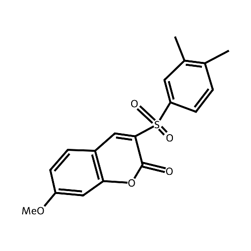 COc1ccc2cc(S(=O)(=O)c3ccc(C)c(C)c3)c(=O)oc2c1